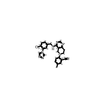 Cc1ccc(N2CCc3ncnc(NCc4ccc(Cl)c(-n5cnnc5)c4)c3C2)c(C#N)c1